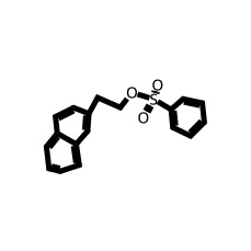 O=S(=O)(OCCc1ccc2ccccc2c1)c1ccccc1